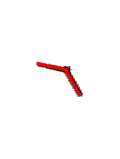 CCCCCCCCCCCCCCCCCCCCCCCCCCC=CC1=C(C=CCCCCCCCCCCCCCCCCCCCCCCCCCC)[N]C=C1